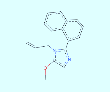 C=CCn1c(OC)cnc1-c1cccc2ccccc12